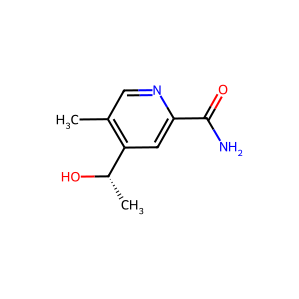 Cc1cnc(C(N)=O)cc1[C@H](C)O